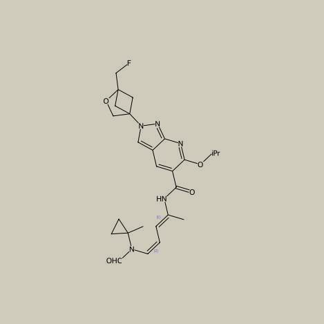 C/C(=C\C=C/N(C=O)C1(C)CC1)NC(=O)c1cc2cn(C34COC(CF)(C3)C4)nc2nc1OC(C)C